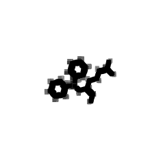 C/C=C(/CCC=C(C)C)C[SiH](c1ccccc1)c1ccccc1